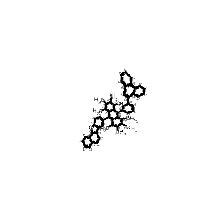 Bc1c(B)c(B)c2c(-c3ccc4oc5c6ccccc6ccc5c4c3)c3c(B)c(B)c(B)c(B)c3c(-c3cccc(-c4cc5ccccc5c5ccccc45)c3)c2c1B